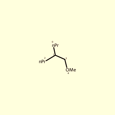 CCCC(CCC)COC